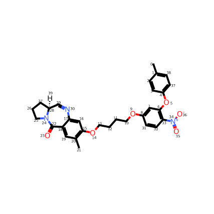 Cc1ccc(Oc2cc(OCCCCOc3cc4c(cc3C)C(=O)N3CCC[C@H]3C=N4)ccc2[N+](=O)[O-])cc1